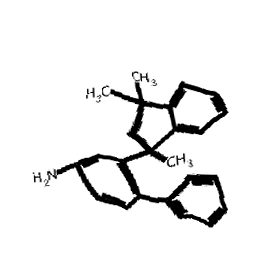 CC1(C)CC(C)(c2cc(N)ccc2-c2ccccc2)c2ccccc21